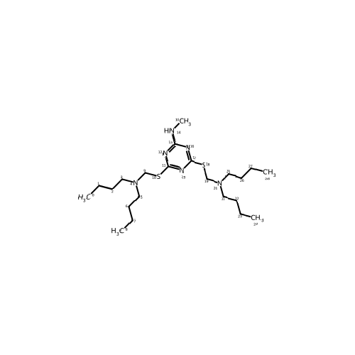 CCCCN(CCCC)CSc1nc(NC)nc(SCN(CCCC)CCCC)n1